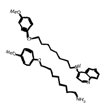 COc1ccc(OCCCCCCCCN)cc1.COc1ccc(OCCCCCCCCNc2ccnc3ccccc23)cc1